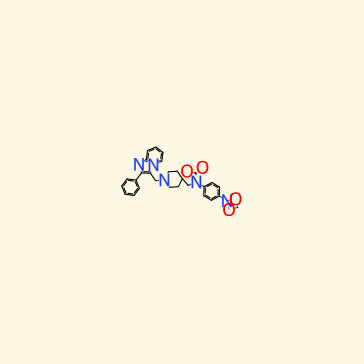 O=C1OC2(CCN(Cc3c(-c4ccccc4)nc4ccccn34)CC2)CN1c1ccc(N2OCO2)cc1